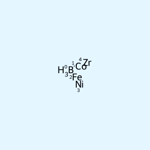 B.[Co].[Fe].[Ni].[Zr]